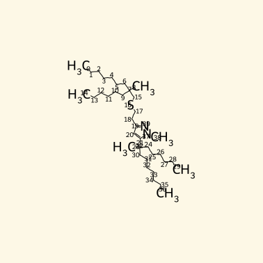 CCCCCCCC(C)(CCCCCC)CSCCc1cc(C(C)(CCCCCC)CCCCCCC)n(C)n1